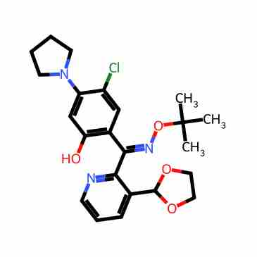 CC(C)(C)ON=C(c1cc(Cl)c(N2CCCC2)cc1O)c1ncccc1C1OCCO1